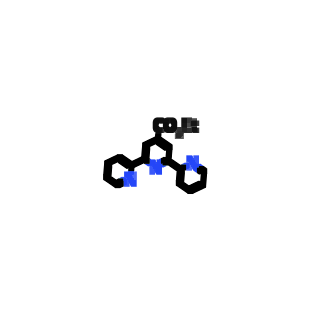 CCOC(=O)c1cc(-c2ccccn2)nc(-c2ccccn2)c1